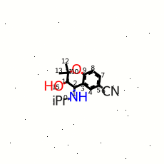 CC(C)NC1c2cc(C#N)ccc2OC(C)(C)C1O